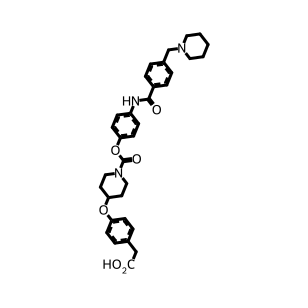 O=C(O)Cc1ccc(OC2CCN(C(=O)Oc3ccc(NC(=O)c4ccc(CN5CCCCC5)cc4)cc3)CC2)cc1